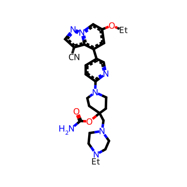 CCOc1cc(-c2ccc(N3CCC(CN4CCN(CC)CC4)(OC(N)=O)CC3)nc2)c2c(C#N)cnn2c1